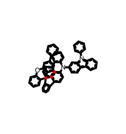 c1ccc(-c2ccc3c(c2)Oc2ccccc2C32c3ccccc3-c3ccc(N(c4ccc5c6ccccc6n(-c6ccccc6)c5c4)c4ccccc4-c4ccccc4)cc32)cc1